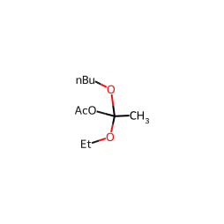 CCCCOC(C)(OCC)OC(C)=O